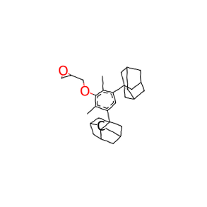 Cc1c(C23CC4CC(CC(C4)C2)C3)cc(C23CC4CC(CC(C4)C2)C3)c(C)c1OCC1CO1